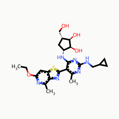 CCOc1cc2sc(-c3c(C)nc(NCC4CC4)nc3N[C@@H]3C[C@H](CO)[C@@H](O)[C@H]3O)nc2c(C)n1